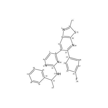 Cc1nc2cc(-c3ccnc(NC(C)c4ccccc4)n3)c(-c3ccc(F)cc3)nc2s1